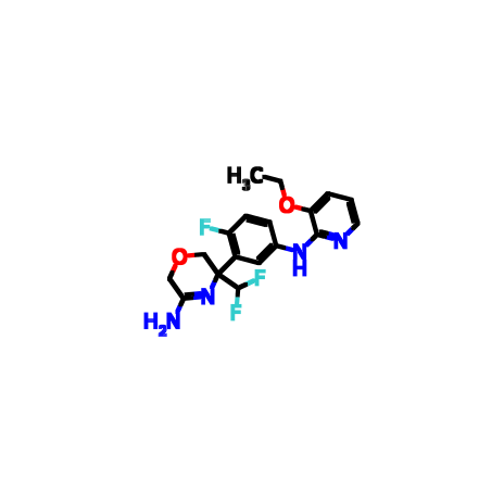 CCOc1cccnc1Nc1ccc(F)c(C2(C(F)F)COCC(N)=N2)c1